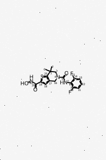 CC1(C)CN(C(=O)Nc2c(F)cccc2F)Cc2cc(C(=O)NO)sc21